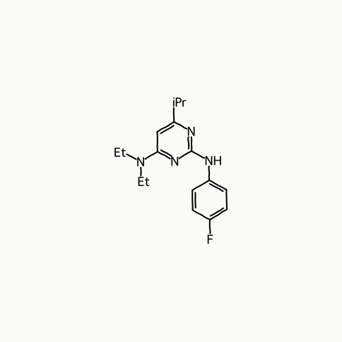 CCN(CC)c1cc(C(C)C)nc(Nc2ccc(F)cc2)n1